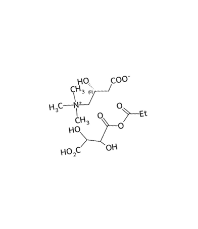 CCC(=O)OC(=O)C(O)C(O)C(=O)O.C[N+](C)(C)C[C@H](O)CC(=O)[O-]